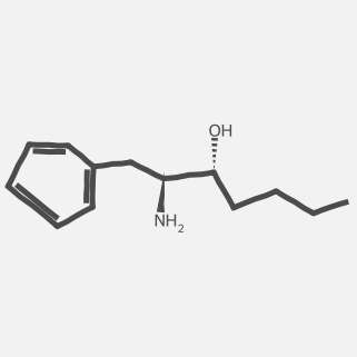 CCCC[C@@H](O)[C@@H](N)Cc1ccccc1